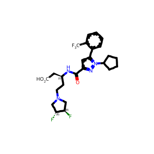 O=C(O)C[C@H](CCN1C[C@@H](F)[C@H](F)C1)NC(=O)c1cc(-c2ccccc2C(F)(F)F)n(C2CCCC2)n1